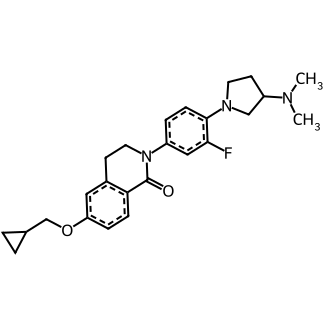 CN(C)C1CCN(c2ccc(N3CCc4cc(OCC5CC5)ccc4C3=O)cc2F)C1